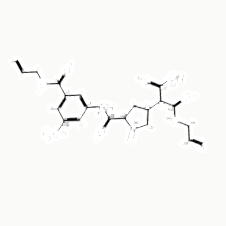 C=CCOC(=O)c1cc(NC(=O)C2CC(C(C(=O)OCC=C)C(O)=S)CN2)cc(C(F)(F)F)c1